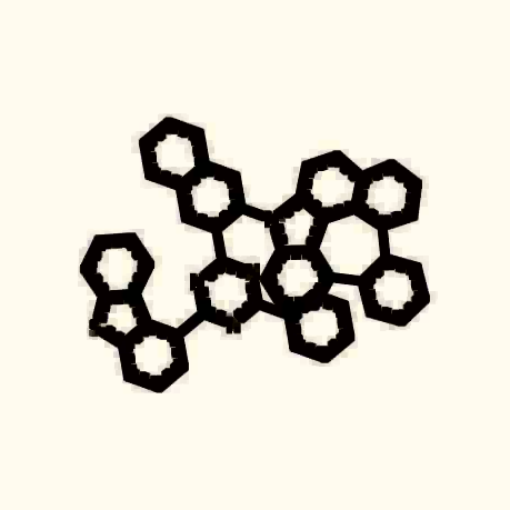 c1ccc(-c2nc(-c3cc4ccccc4cc3-n3c4cccc5c4c4c6c(cccc6ccc43)-c3ccccc3-5)nc(-c3cccc4sc5ccccc5c34)n2)cc1